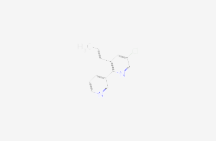 CC=Cc1cc(Cl)cnc1-c1cccnc1